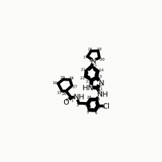 O=C(NCc1ccc(Cl)c(Nc2nc3cc(N4CCCC4)ccc3[nH]2)c1)C1CCCCC1